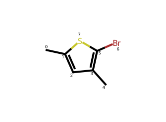 Cc1cc(C)c(Br)s1